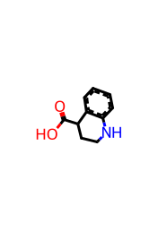 O=C(O)C1CCNc2ccccc21